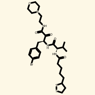 CC(C)[C@H](NC(=O)CCCCC1CCSS1)C(=O)N[C@@H](Cc1ccc(Br)cc1)C(=O)C(=O)NCCN1CCOCC1